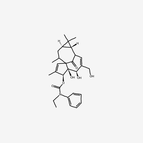 CCN(C(=O)O[C@H]1C(C)=CC23C(=O)C(C=C(CO)[C@@H](O)[C@]12O)[C@@H]1[C@@H](CC3C)C1(C)C)c1ccccc1